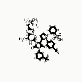 Cc1c(-c2ccnn2-c2ccc(C#N)cc2)n(C(=O)N[C@@H](C)c2nc(C[N+](C)(C)C)no2)c(=O)n1-c1cccc(C(F)(F)F)c1.O=S(=O)(O)c1ccccc1